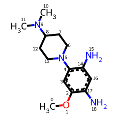 COc1cc(N2CCC(N(C)C)CC2)c(N)cc1N